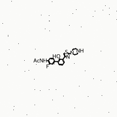 CC(=O)Nc1ccc(-c2cccc(-c3csc(N4CCNCC4)n3)c2O)cc1F